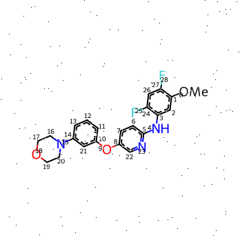 COc1cc(Nc2ccc(Oc3cccc(N4CCOCC4)c3)cn2)c(F)cc1F